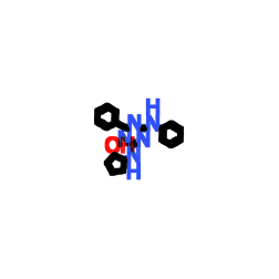 O[C@H]1CCCC1Nc1nc(Nc2ccccc2)nc(-c2ccccc2)n1